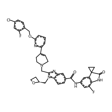 O=C(Nc1cc(F)c2c(c1)C1(CC1)C(=O)N2)c1ccc2c(c1)nc(CN1CC=C(c3cccc(OCc4ccc(Cl)cc4F)n3)CC1)n2C[C@@H]1CCO1